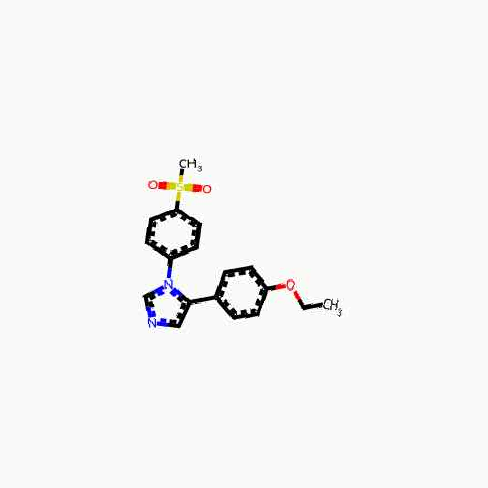 CCOc1ccc(-c2cncn2-c2ccc(S(C)(=O)=O)cc2)cc1